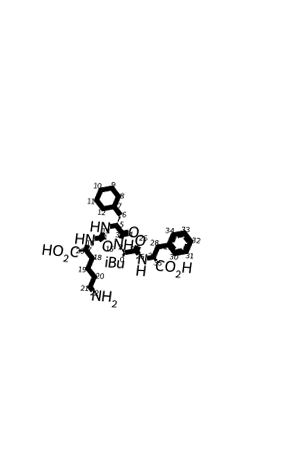 CC[C@@H](C)[C@H](NC(=O)[C@@H](CC1CCCCC1)NC(=O)N[C@@H](CCCCN)C(=O)O)C(=O)N[C@@H](Cc1ccccc1)C(=O)O